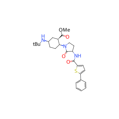 COC(=O)[C@@H]1C[C@H](NC(C)(C)C)CC[C@@H]1N1CCC(NC(=O)c2ccc(-c3ccccc3)s2)C1=O